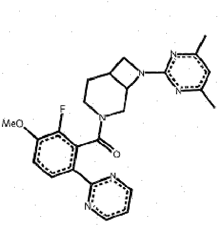 COc1ccc(-c2ncccn2)c(C(=O)N2CCC3CN(c4nc(C)cc(C)n4)C3C2)c1F